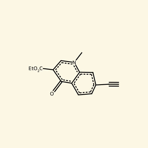 C#Cc1ccc2c(=O)c(C(=O)OCC)cn(C)c2c1